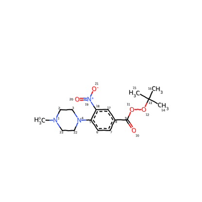 CN1CCN(c2ccc(C(=O)OOC(C)(C)C)cc2[N+](=O)[O-])CC1